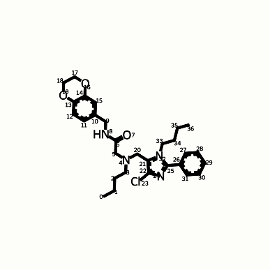 CCCCN(CC(=O)NCc1ccc2c(c1)OCCO2)Cc1c(Cl)nc(-c2ccccc2)n1CCCC